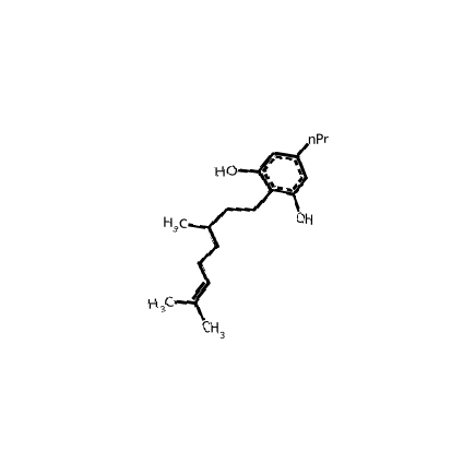 CCCc1cc(O)c(CCC(C)CCC=C(C)C)c(O)c1